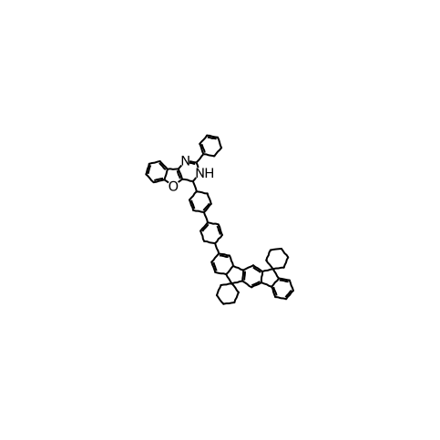 C1=CCCC(C2=Nc3c(oc4ccccc34)C(C3C=CC(C4=CCC(C5=CC6c7cc8c(cc7C7(CCCCC7)C6C=C5)-c5ccccc5C85CCCCC5)C=C4)=CC3)N2)=C1